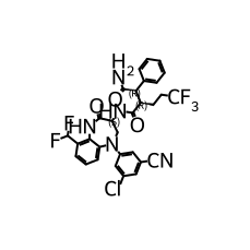 N#Cc1cc(Cl)cc(N2C[C@H](NC(=O)[C@H](CCC(F)(F)F)[C@@H](C(N)=O)c3ccccc3)C(=O)Nc3c(C(F)F)cccc32)c1